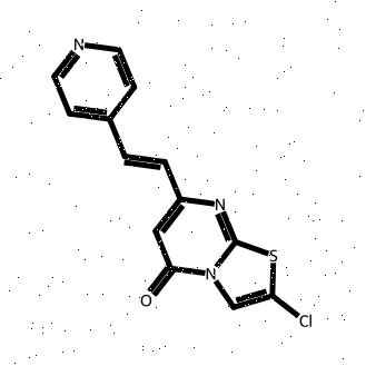 O=c1cc(/C=C/c2ccncc2)nc2sc(Cl)cn12